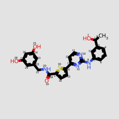 CC(O)c1cccc(Nc2nccc(-c3ccc(C(=O)NCc4cc(O)cc(O)c4)s3)n2)c1